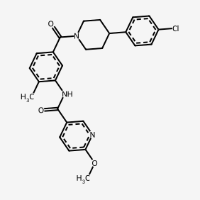 COc1ccc(C(=O)Nc2cc(C(=O)N3CCC(c4ccc(Cl)cc4)CC3)ccc2C)cn1